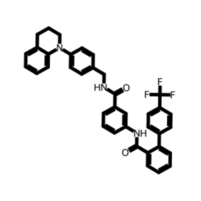 O=C(NCc1ccc(N2CCCc3ccccc32)cc1)c1cccc(NC(=O)c2ccccc2-c2ccc(C(F)(F)F)cc2)c1